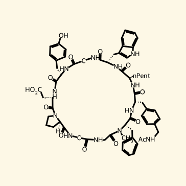 CCCCC[C@@H]1NC(=O)[C@H](Cc2ccc(CNC(C)=O)cc2)NC(=O)[C@H](Cc2ccccc2)N(C)C(=O)CNC(=O)CNC(=O)[C@H]2CCCN2C(=O)[C@H](CC(=O)O)NC(=O)[C@H](Cc2ccc(O)cc2)NC(=O)CNC(=O)[C@H](Cc2c[nH]c3ccccc23)NC1=O